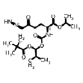 CC(C)OC(=O)[C@H](CCC(=O)C=[N+]=N)NC(=O)OC(OC(=O)C(C)(C)C)C(C)C